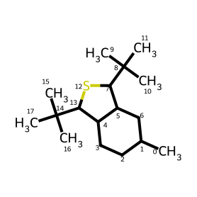 CC1CCC2C(C1)C(C(C)(C)C)SC2C(C)(C)C